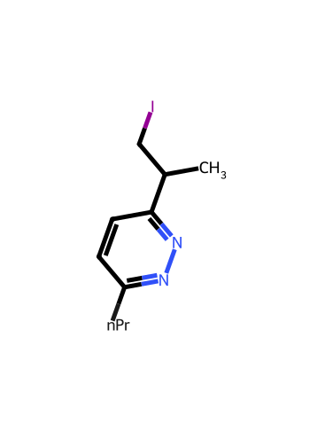 CCCc1ccc(C(C)CI)nn1